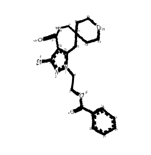 CCc1nn(CCOC(=O)c2ccccc2)c2c1C(=O)NCC1(CCOCC1)C2